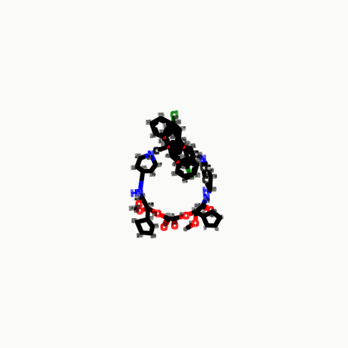 COC1(C2CCCC2)OC(=O)C(=O)OC(OC)(C2CCCC2)C(=O)NC2CCN(CC2)CC23c4ccccc4C(c4ccc(Cl)cc42)C32C3c4ccccc4C2(CN2CCC(CC2)NC1=O)c1cc(Cl)ccc13